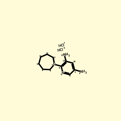 Cl.Cl.Nc1cnc(N2CCCCCC2)c(N)c1